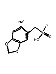 O=P([O-])(O)Cc1ccc2c(c1)OCO2.[Na+]